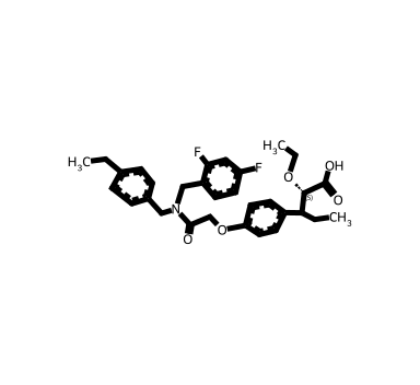 CCO[C@H](C(=O)O)C(CC)c1ccc(OCC(=O)N(Cc2ccc(CC)cc2)Cc2ccc(F)cc2F)cc1